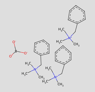 C[N+](C)(C)Cc1ccccc1.C[N+](C)(C)Cc1ccccc1.C[N+](C)(C)Cc1ccccc1.[O-]B([O-])[O-]